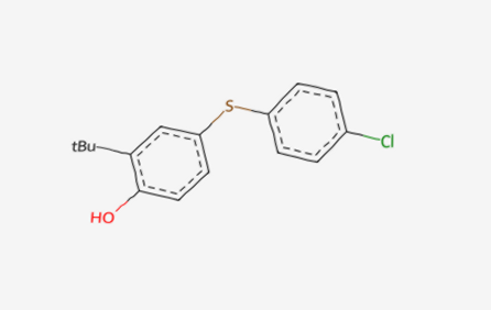 CC(C)(C)c1cc(Sc2ccc(Cl)cc2)ccc1O